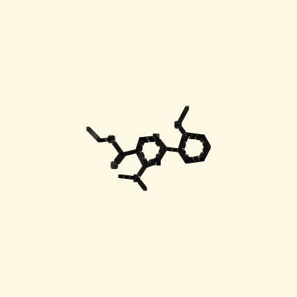 CCOC(=O)c1cnc(-c2ccccc2OC)nc1N(C)C